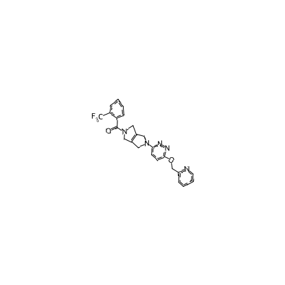 O=C(c1ccccc1C(F)(F)F)N1CC2=C(C1)CN(c1ccc(OCc3ccccn3)nn1)C2